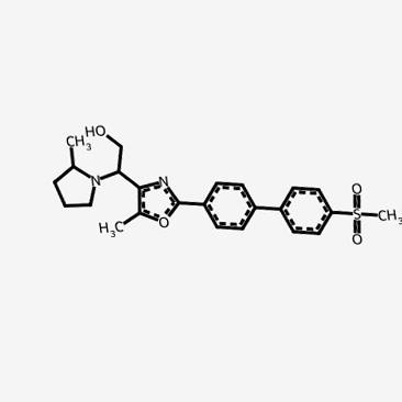 Cc1oc(-c2ccc(-c3ccc(S(C)(=O)=O)cc3)cc2)nc1C(CO)N1CCCC1C